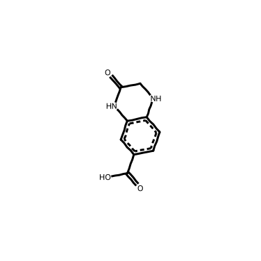 O=C1CNc2ccc(C(=O)O)cc2N1